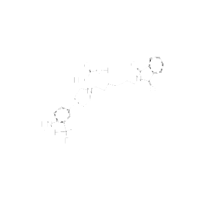 CC(=O)O.Nc1ccc(N2CCN(CCCCCCN3C(=O)c4ccccc4C3=O)CC2)cc1C(F)(F)F